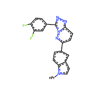 CCCn1ccc2cc(-c3ccc4nnc(-c5ccc(F)c(F)c5)n4n3)ccc21